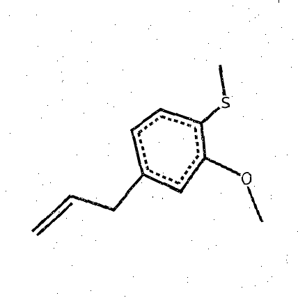 C=CCc1ccc(SC)c(OC)c1